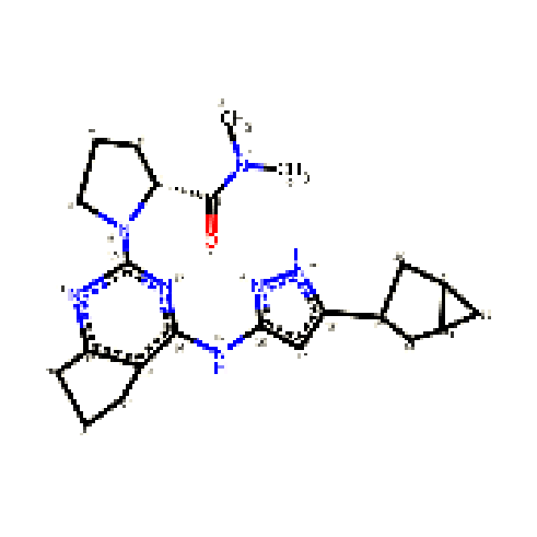 CN(C)C(=O)[C@H]1CCCN1c1nc2c(c(Nc3cc(C4CC5CC5C4)[nH]n3)n1)CCC2